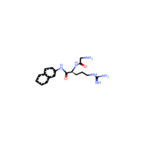 N=C(N)NCCC[C@H](NC(=O)CN)C(=O)Nc1ccc2ccccc2c1